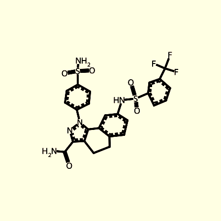 NC(=O)c1nn(-c2ccc(S(N)(=O)=O)cc2)c2c1CCc1ccc(NS(=O)(=O)c3cccc(C(F)(F)F)c3)cc1-2